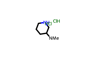 CNC1CCCNC1.Cl.Cl